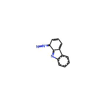 [N-]=[N+]=C1C=CC=C2C1=Nc1ccccc12